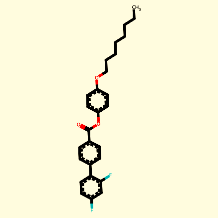 CCCCCCCCOc1ccc(OC(=O)c2ccc(-c3ccc(F)cc3F)cc2)cc1